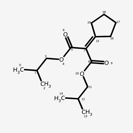 CC(C)COC(=O)C(C(=O)OCC(C)C)=C1CCCC1